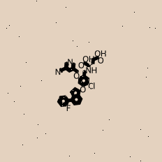 N#Cc1cncc(COc2cc(O[C@H]3CCc4c(-c5ccccc5F)cccc43)c(Cl)cc2CN[C@@H](CCC(=O)O)C(=O)O)c1